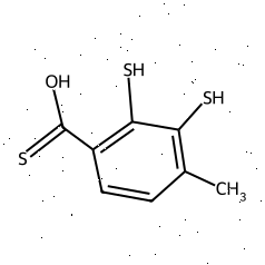 Cc1ccc(C(O)=S)c(S)c1S